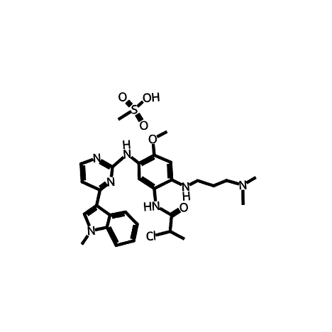 COc1cc(NCCCN(C)C)c(NC(=O)C(C)Cl)cc1Nc1nccc(-c2cn(C)c3ccccc23)n1.CS(=O)(=O)O